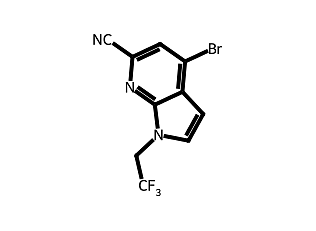 N#Cc1cc(Br)c2ccn(CC(F)(F)F)c2n1